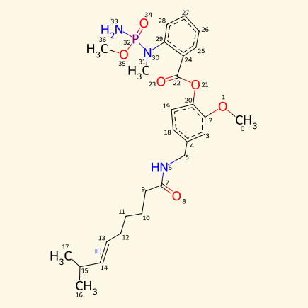 COc1cc(CNC(=O)CCCC/C=C/C(C)C)ccc1OC(=O)c1ccccc1N(C)P(N)(=O)OC